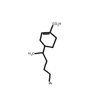 CC(C)CCCC(C)C1CC=C(C(=O)O)CC1